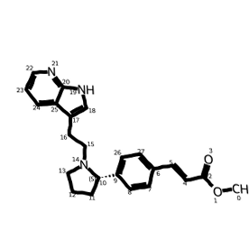 COC(=O)C=Cc1ccc([C@@H]2CCCN2CCc2c[nH]c3ncccc23)cc1